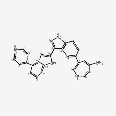 NC1=CC(c2ccc3[nH]nc(-c4cc5c(-c6ccncc6)cncc5[nH]4)c3n2)=CNC=C1